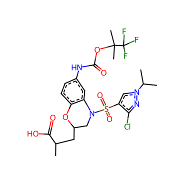 CC(CC1CN(S(=O)(=O)c2cn(C(C)C)nc2Cl)c2cc(NC(=O)OC(C)(C)C(F)(F)F)ccc2O1)C(=O)O